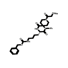 CCCN1C(=O)[C@H](CCCCNC(=O)OCc2ccccc2)NC(=O)C12CCN(C(=O)COC)CC2